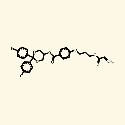 C=CC(=O)OCCCOc1ccc(C(=O)OC2COC(c3ccc(F)cc3)(c3ccc(F)cc3)OC2)cc1